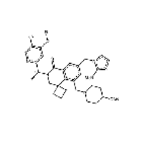 CCOc1cc([C@H](C)N2CC3(CCC3)c3c(CN4CCC(OC)CC4)cc(Cn4ccnc4NC)cc3C2=O)ncc1C#N